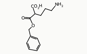 NCCCC(C(=O)O)C(=O)OCc1ccccc1